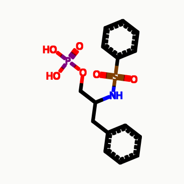 O=P(O)(O)OCC(Cc1ccccc1)NS(=O)(=O)c1ccccc1